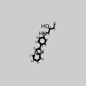 OC(CF)CNc1ccc(-c2cn3ccccc3n2)cc1